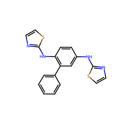 c1ccc(-c2cc(Nc3nccs3)ccc2Nc2nccs2)cc1